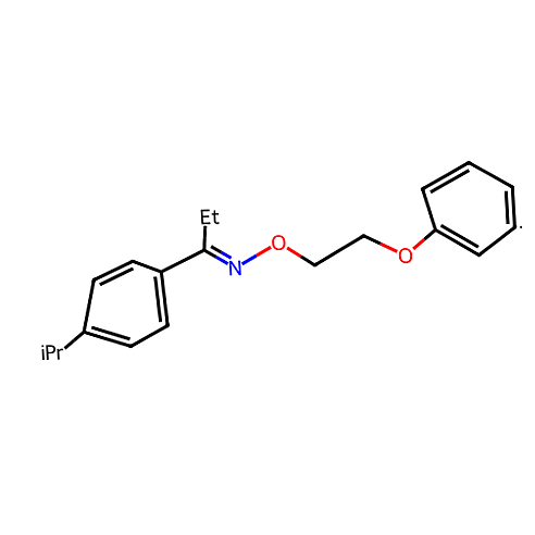 CC/C(=N\OCCOc1c[c]ccc1)c1ccc(C(C)C)cc1